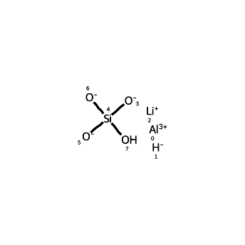 [Al+3].[H-].[Li+].[O-][Si]([O-])([O-])O